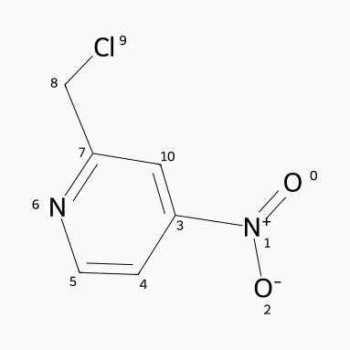 O=[N+]([O-])c1ccnc(CCl)c1